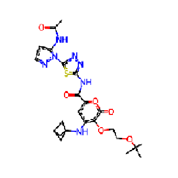 CC(=O)Nc1ccnn1-c1nnc(NC(=O)c2cc(NC34CC(C3)C4)c(OCCOC(C)(C)C)c(=O)o2)s1